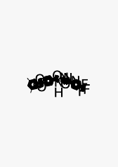 C[C@@H]1C[C@H](C)CN(S(=O)(=O)c2ccc(C(=O)Nc3nnc(-c4ccc(C(F)(F)F)cn4)o3)cc2)C1